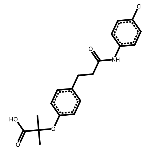 CC(C)(Oc1ccc(CCC(=O)Nc2ccc(Cl)cc2)cc1)C(=O)O